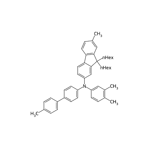 CCCCCCC1(CCCCCC)c2cc(C)ccc2-c2ccc(N(c3ccc(-c4ccc(C)cc4)cc3)c3ccc(C)c(C)c3)cc21